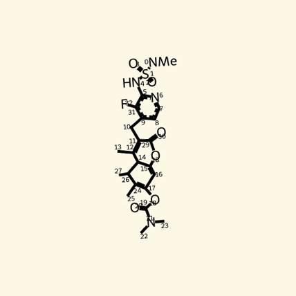 CNS(=O)(=O)Nc1nccc(CC2=C(C)C3C(=CC(OC(=O)N(C)C)=C(C)C3C)OC2=O)c1F